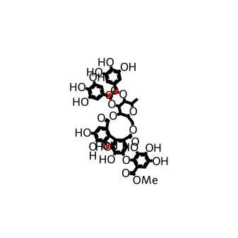 COC(=O)c1cc(O)c(O)c(O)c1Oc1cc2c(c(O)c1O)-c1c(cc(O)c(O)c1O)C(=O)OC1C(COC2=O)OC(C)C(OC(=O)c2cc(O)c(O)c(O)c2)C1OC(=O)c1cc(O)c(O)c(O)c1